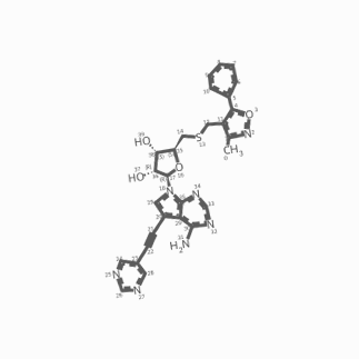 Cc1noc(-c2ccccc2)c1CSC[C@H]1O[C@@H](n2cc(C#Cc3cncnc3)c3c(N)ncnc32)[C@H](O)[C@@H]1O